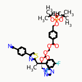 C[C@@H](c1nc(-c2ccc(C#N)cc2)cs1)[C@@](Cn1cncn1)(OC(=O)OCOC(=O)c1ccc(COP(=O)(OC(C)(C)C)OC(C)(C)C)cc1)c1ccc(F)cc1F